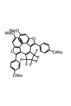 COc1ccc(-c2oc3cc(OC)ccc3c2C2=C(c3c(-c4ccc(OC)cc4)oc4cc(OC)ccc34)C(F)(F)C(F)(F)C2(F)F)cc1